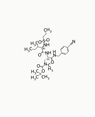 CCCS(=O)(=O)N[C@@H](C(=O)N[C@@H](CN(C)C(=O)OC(C)(C)C)C(=O)NCc1ccc(C#N)cc1)C(C)CC